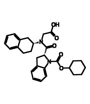 O=C(O)CN(C(=O)[C@H]1Cc2ccccc2N1C(=O)OC1CCCCC1)[C@@H]1CCc2ccccc2C1